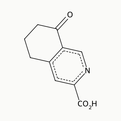 O=C(O)c1cc2c(cn1)C(=O)CCC2